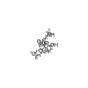 COc1cc2c3c([nH]c2cc1F)C(c1cccc(O)c1)N1C(=O)N(CCCNC(C)(C)C)C(=O)C1(C)C3